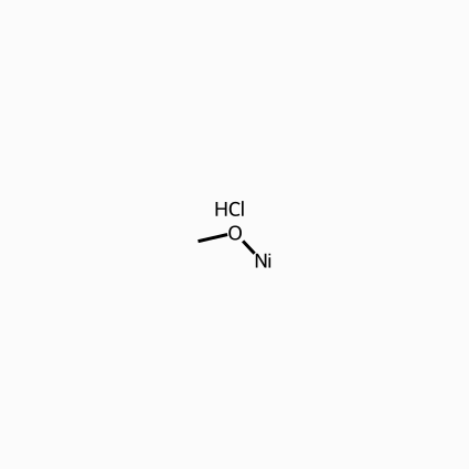 C[O][Ni].Cl